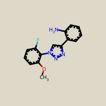 COc1cccc(F)c1-n1cc(-c2ccccc2N)nn1